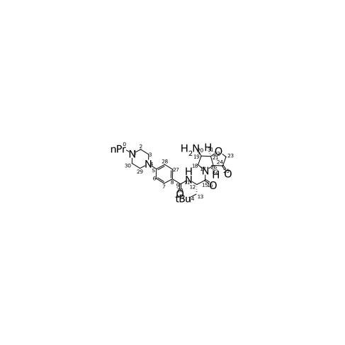 CCCN1CCN(c2ccc(C(=O)N[C@@H](CC(C)(C)C)C(=O)N3C[C@@H](N)[C@H]4OCC(=O)[C@H]43)cc2)CC1